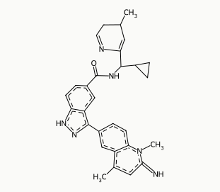 Cc1cc(=N)n(C)c2ccc(-c3n[nH]c4ccc(C(=O)NC(C5=CC(C)CC=N5)C5CC5)cc34)cc12